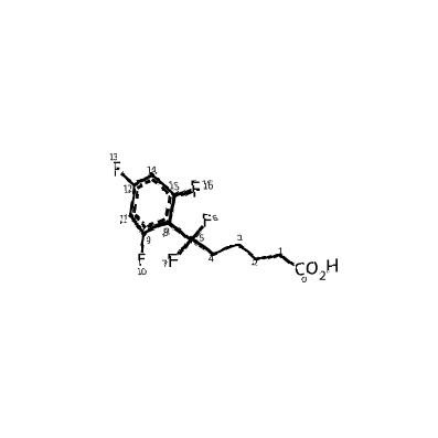 O=C(O)CCCCC(F)(F)c1c(F)cc(F)cc1F